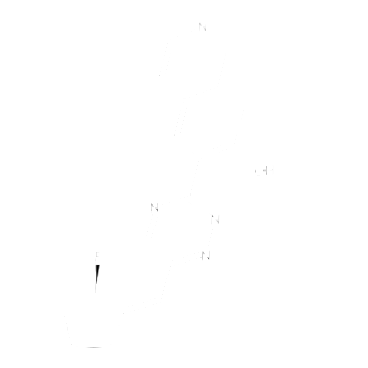 Oc1cc2cnccc2cc1-c1ncc(/C=C2/CCC[C@H]2F)nn1